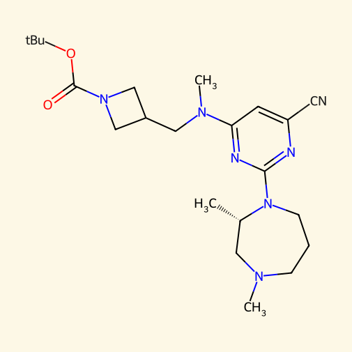 C[C@H]1CN(C)CCCN1c1nc(C#N)cc(N(C)CC2CN(C(=O)OC(C)(C)C)C2)n1